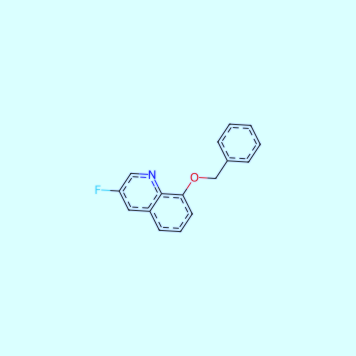 Fc1cnc2c(OCc3ccccc3)cccc2c1